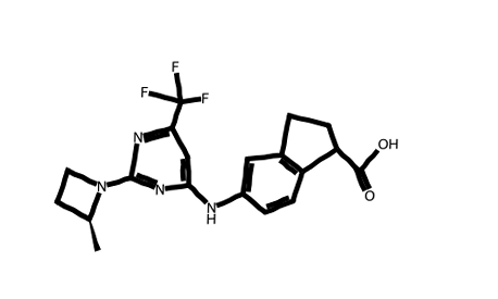 C[C@H]1CCN1c1nc(Nc2ccc3c(c2)CCC3C(=O)O)cc(C(F)(F)F)n1